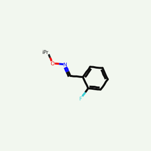 CC(C)O/N=[C]/c1ccccc1F